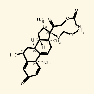 COCO[C@]1(C(=O)COC(C)=O)[C@@H](C)C[C@H]2[C@@H]3C[C@H](C)C4=CC(=O)C=C[C@]4(C)C3=CC[C@@]21C